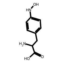 NC(Cc1ccc(NO)cc1)C(=O)O